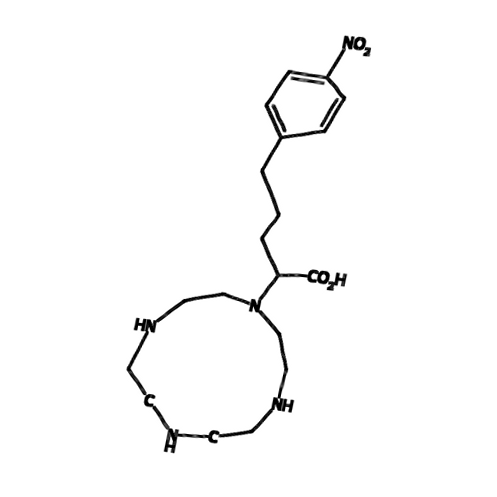 O=C(O)C(CCCc1ccc([N+](=O)[O-])cc1)N1CCNCCNCCNCC1